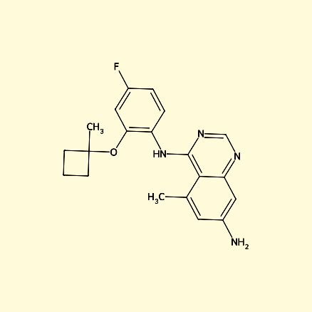 Cc1cc(N)cc2ncnc(Nc3ccc(F)cc3OC3(C)CCC3)c12